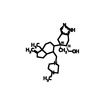 C=C1CCC2C(CN3CCN(C)CC3)C([C@@]3(C)Cc4cn[nH]c4C[C@@H]3CO)CCC12C